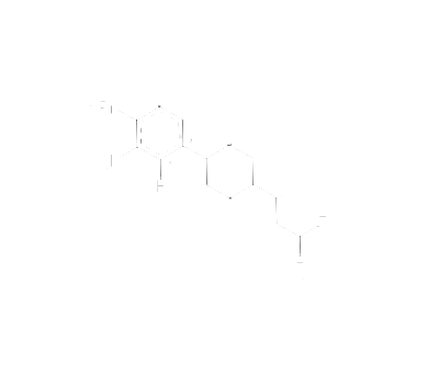 CCCc1ccc(C2CCC(CCC(F)F)CC2)c(F)c1F